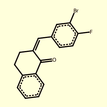 O=C1C(=Cc2ccc(F)c(Br)c2)CCc2ccccc21